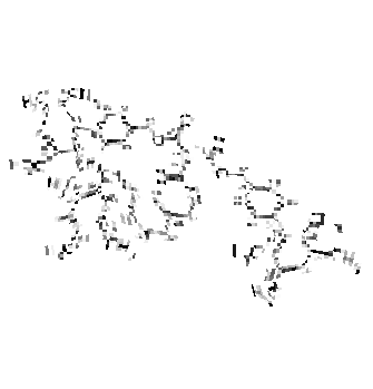 Cc1cc(C)c(C)c(-c2ccc(COC(=O)B(C(=O)OCc3ccc(-c4c(C)c(C)cc(C)c4C)cc3)C(=O)OCc3ccc(-c4c(C)c(C)cc(C)c4C)cc3)cc2)c1C